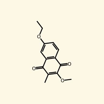 CCOc1ccc2c(c1)C(=O)C(C)=C(OC)C2=O